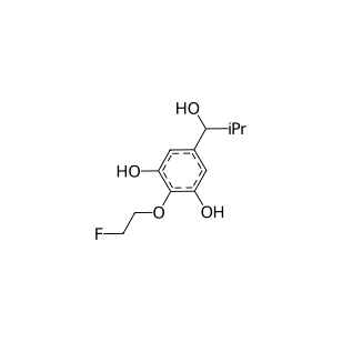 CC(C)C(O)c1cc(O)c(OCCF)c(O)c1